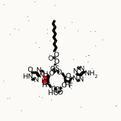 CCCCCCCCCCOC(=O)OCSP1(=O)OCC2O[C@@H](n3cnc4c(N)ncnc43)[C@H](F)[C@@H]2OCP(=O)(O)OC[C@H]2O[C@@H](n3cnc4c(=O)[nH]cnc43)[C@H](O1)[C@@H]2F